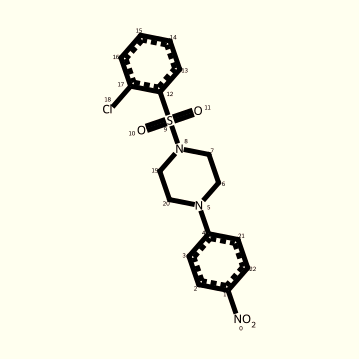 O=[N+]([O-])c1ccc(N2CCN(S(=O)(=O)c3ccccc3Cl)CC2)cc1